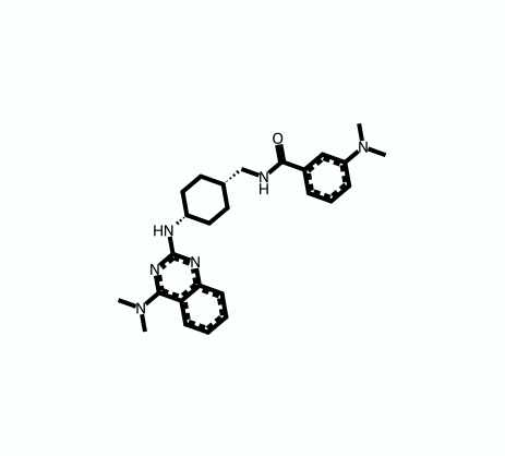 CN(C)c1cccc(C(=O)NC[C@H]2CC[C@@H](Nc3nc(N(C)C)c4ccccc4n3)CC2)c1